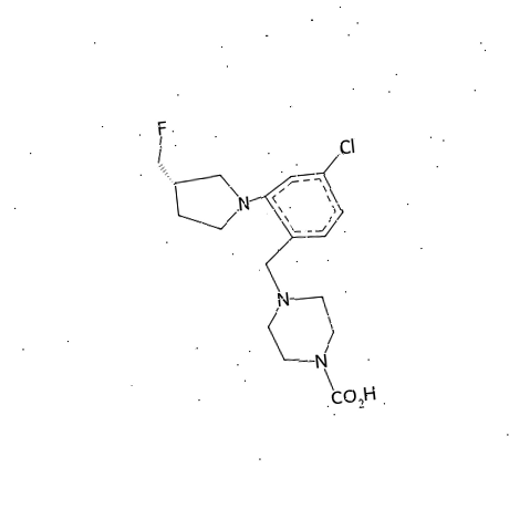 O=C(O)N1CCN(Cc2ccc(Cl)cc2N2CC[C@H](CF)C2)CC1